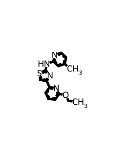 CCOc1cccc(-c2csc(Nc3cc(C)ccn3)n2)n1